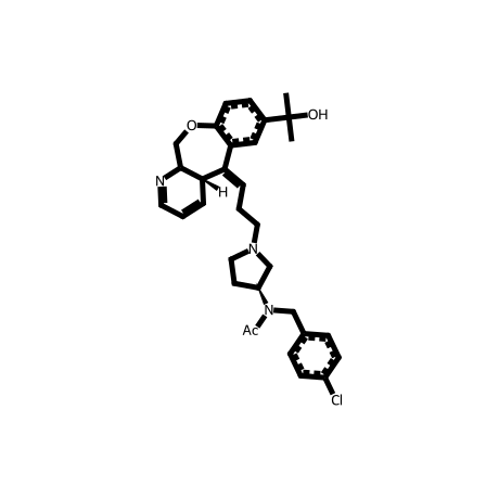 CC(=O)N(Cc1ccc(Cl)cc1)[C@H]1CCN(CC/C=C2/c3cc(C(C)(C)O)ccc3OCC3N=CC=C[C@@H]23)C1